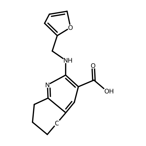 O=C(O)c1cc2c(nc1NCc1ccco1)CCCC2